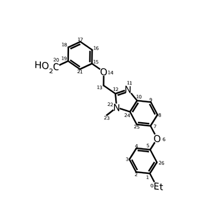 CCc1cccc(Oc2ccc3nc(COc4cccc(C(=O)O)c4)n(C)c3c2)c1